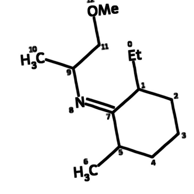 CCC1CCCC(C)/C1=N/C(C)COC